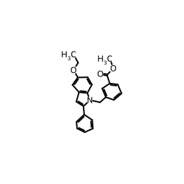 CCOc1ccc2c(c1)cc(-c1ccccc1)n2Cc1cccc(C(=O)OC)c1